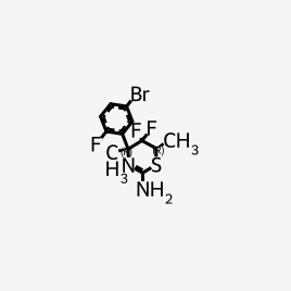 C[C@H]1SC(N)=N[C@](C)(c2cc(Br)ccc2F)C1(F)F